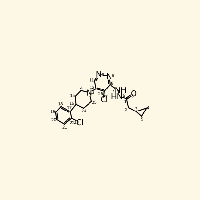 O=C(CC1CC1)NNc1nncc(N2CCC(c3ccccc3Cl)CC2)c1Cl